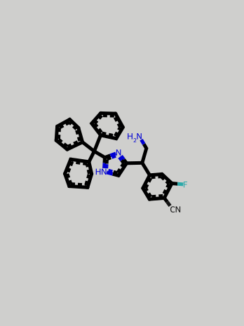 N#Cc1ccc(C(CN)c2c[nH]c(C(c3ccccc3)(c3ccccc3)c3ccccc3)n2)cc1F